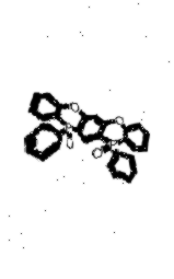 O=P1(c2ccccc2)c2ccccc2Oc2cc3c(cc21)P(=O)(c1ccccc1)c1ccccc1O3